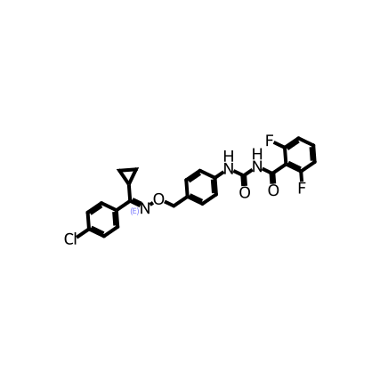 O=C(NC(=O)c1c(F)cccc1F)Nc1ccc(CO/N=C(/c2ccc(Cl)cc2)C2CC2)cc1